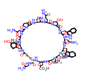 CCCC[C@H]1C(=O)N(C)[C@@H](CCCC)C(=O)N[C@@H](CCC(=O)O)C(=O)N[C@H](C(=O)NCC(N)=O)CSCC(=O)N[C@@H](Cc2ccc(O)cc2)C(=O)N(C)[C@@H](C)C(=O)N[C@@H](CC(N)=O)C(=O)N2CCC[C@H]2C(=O)N[C@@H](CN)C(=O)N[C@@H](CCC(N)=O)C(=O)N2C[C@H](O)C[C@H]2C(=O)N[C@@H](Cc2c[nH]c3ccccc23)C(=O)N[C@@H](CCN)C(=O)N[C@@H](Cc2c[nH]c3ccccc23)C(=O)N1C